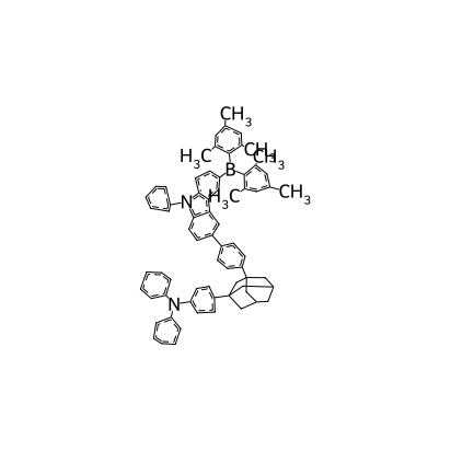 Cc1cc(C)c(B(c2ccc3c(c2)c2cc(-c4ccc(C56CC7CC(C5)CC(c5ccc(N(c8ccccc8)c8ccccc8)cc5)(C7)C6)cc4)ccc2n3-c2ccccc2)c2c(C)cc(C)cc2C)c(C)c1